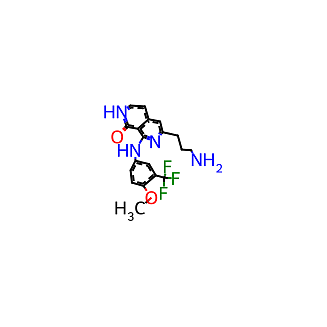 COc1ccc(Nc2nc(CCCN)cc3cc[nH]c(=O)c23)cc1C(F)(F)F